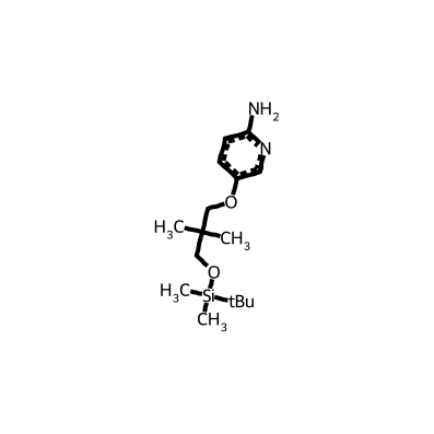 CC(C)(COc1ccc(N)nc1)CO[Si](C)(C)C(C)(C)C